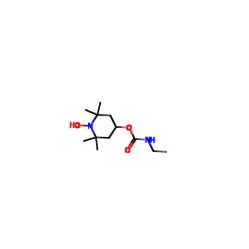 CCNC(=O)OC1CC(C)(C)N(O)C(C)(C)C1